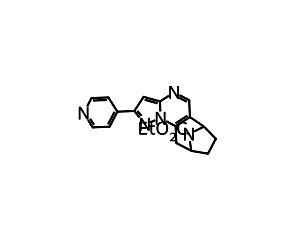 CCOC(=O)N1C2CCC1c1cnc3cc(-c4ccncc4)nn3c1C2